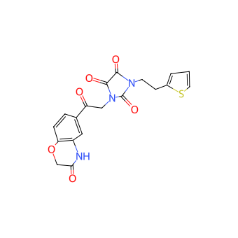 O=C1COc2ccc(C(=O)CN3C(=O)C(=O)N(CCc4cccs4)C3=O)cc2N1